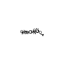 CC(=O)N[C@@H](C)COC1CCN(c2nc3cc(OCC4CC4)cnc3o2)CC1